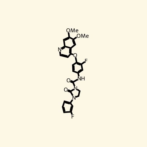 COc1cc2nccc(Oc3ccc(NC(=O)N4CCN(c5cccc(F)c5)C4=O)cc3F)c2cc1OC